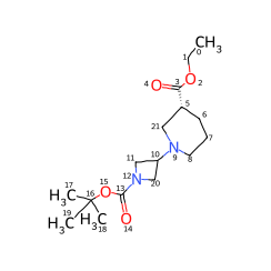 CCOC(=O)[C@@H]1CCCN(C2CN(C(=O)OC(C)(C)C)C2)C1